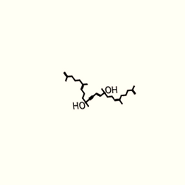 C=C(C)CCCC(C)=CCCC(C)(O)C#CC=CC(C)(O)CCC=C(C)CCCC(=C)C